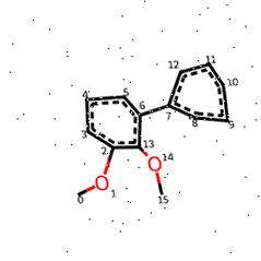 COc1cccc(-c2[c]cccc2)c1OC